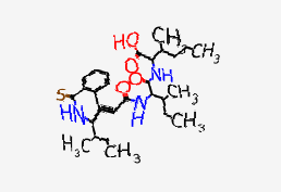 CCCC(C)C(NC(=O)C(NC(=O)/C=C1\c2ccccc2C(=S)NC1C(C)CC)C(C)CC)C(=O)O